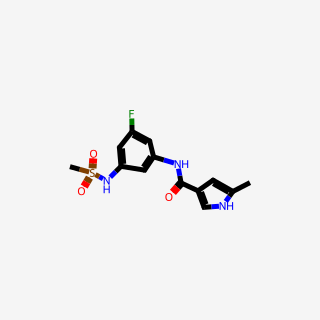 Cc1cc(C(=O)Nc2cc(F)cc(NS(C)(=O)=O)c2)c[nH]1